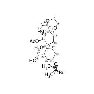 CC(=O)O[C@H]1C2CCC3(OCCO3)[C@@]2(C)CCC1[C@@]1(C)CC[C@H](O[Si](C)(C)C(C)(C)C)C[C@@H]1CO